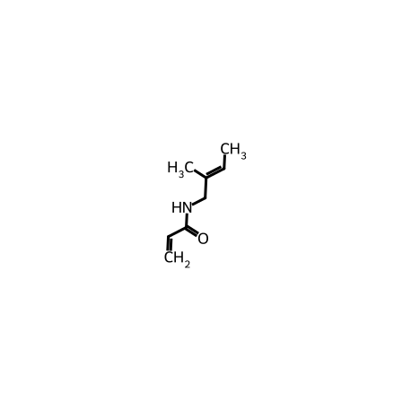 C=CC(=O)NC/C(C)=C/C